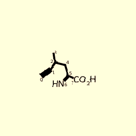 C#CC(C)CC(=N)C(=O)O